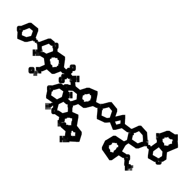 CC(C)Oc1ccccc1[C@@H]1CN([C@H]2COCc3cncnc32)CCN1C1CC2(CCN(c3ccc(C(=O)NS(=O)(=O)c4cc5c(c([N+](=O)[O-])c4)N[C@H](C4CCOCC4)CO5)c(N4c5cc6cc[nH]c6nc5O[C@H]5COCC[C@@H]54)c3)CC2)C1